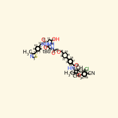 Cc1ncsc1-c1ccc(CNC(=O)[C@@H]2C[C@@H](O)CN2C(=O)[C@@H](NC(=O)COCC2CCC(c3ccc(C(=O)N[C@H]4C(C)(C)[C@H](Oc5ccc(C#N)c(Cl)c5)C4(C)C)cc3)CC2)C(C)(C)C)cc1